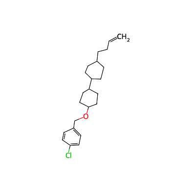 C=CCCC1CCC(C2CCC(OCc3ccc(Cl)cc3)CC2)CC1